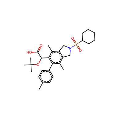 Cc1ccc(-c2c(C)c3c(c(C)c2C(OC(C)(C)C)C(=O)O)CN(S(=O)(=O)C2CCCCC2)C3)cc1